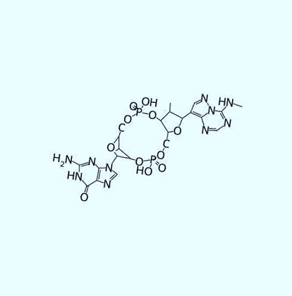 CNc1ncnc2c(C3OC4COP(=O)(O)OC5C(C)C(COP(=O)(O)OC4C3C)OC5n3cnc4c(=O)[nH]c(N)nc43)cnn12